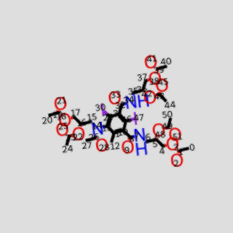 CC(=O)OCC(CNC(=O)c1c(C)c(N(CC(COC(C)=O)OC(C)=O)C(C)=O)c(I)c(C(=O)NCC(COC(C)=O)OC(C)=O)c1I)OC(C)=O